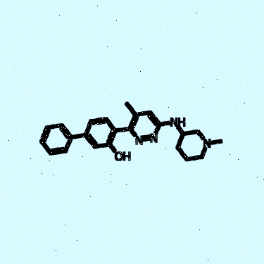 Cc1cc(NC2CCCN(C)C2)nnc1-c1ccc(-c2ccccc2)cc1O